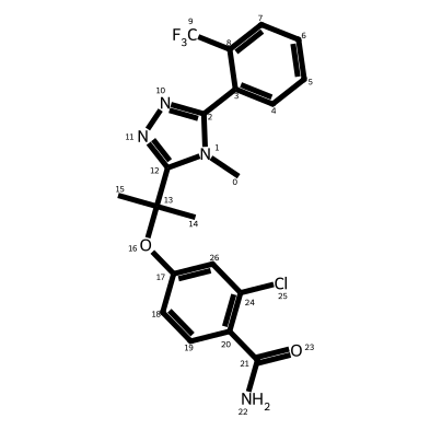 Cn1c(-c2ccccc2C(F)(F)F)nnc1C(C)(C)Oc1ccc(C(N)=O)c(Cl)c1